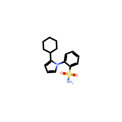 NS(=O)(=O)c1ccccc1-n1cccc1C1CCCCC1